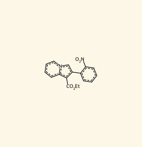 CCOC(=O)c1c(-c2ccccc2[N+](=O)[O-])cn2ccccc12